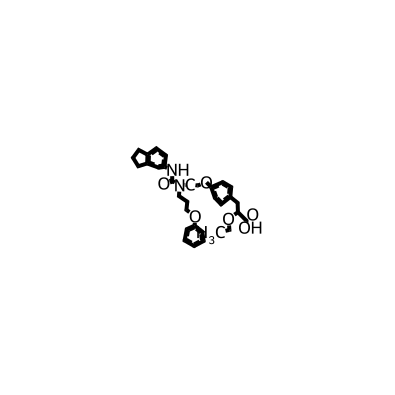 CCOC(Cc1ccc(OCCN(CCCOc2ccccc2)C(=O)Nc2ccc3c(c2)CCC3)cc1)C(=O)O